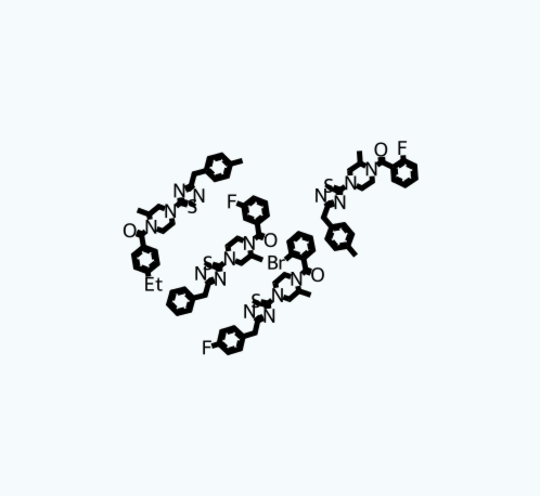 CC1CN(c2nc(Cc3ccc(F)cc3)ns2)CCN1C(=O)c1ccccc1Br.CC1CN(c2nc(Cc3ccccc3)ns2)CCN1C(=O)c1cccc(F)c1.CCc1ccc(C(=O)N2CCN(c3nc(Cc4ccc(C)cc4)ns3)CC2C)cc1.Cc1ccc(Cc2nsc(N3CCN(C(=O)c4ccccc4F)C(C)C3)n2)cc1